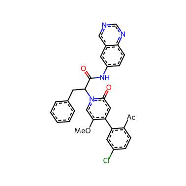 COc1cn(C(Cc2ccccc2)C(=O)Nc2ccc3ncncc3c2)c(=O)cc1-c1cc(Cl)ccc1C(C)=O